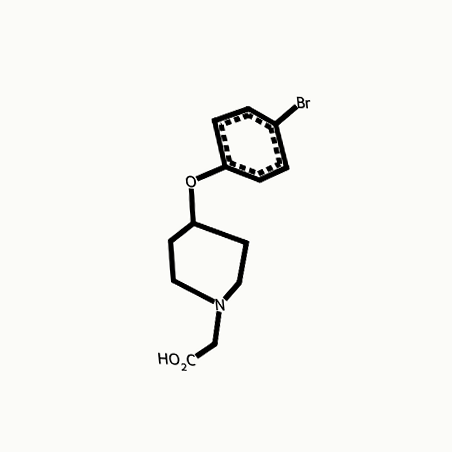 O=C(O)CN1CCC(Oc2ccc(Br)cc2)CC1